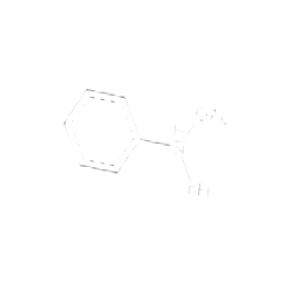 CCC[SiH](OC(C)=O)c1ccccc1